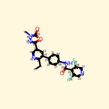 CCc1ncc(-c2nn(C)c(=O)o2)cc1-c1ccc(NC(=O)c2c(F)cncc2F)cc1